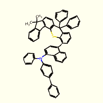 CC1(C)c2ccccc2-c2c1ccc1c2Sc2c(-c3ccc(N(c4ccccc4)c4ccc(-c5ccccc5)cc4)c4ccccc34)cccc2C1(c1ccccc1)c1ccccc1